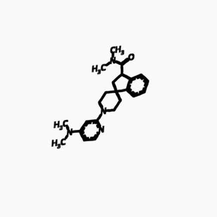 CN(C)C(=O)C1CC2(CCN(c3cc(N(C)C)ccn3)CC2)c2ccccc21